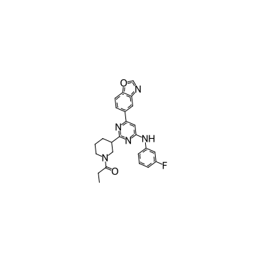 CCC(=O)N1CCCC(c2nc(Nc3cccc(F)c3)cc(-c3ccc4ocnc4c3)n2)C1